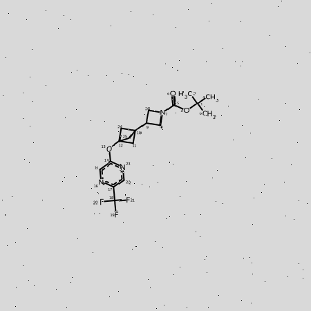 CC(C)(C)OC(=O)N1CC(C23CC(Oc4cnc(C(F)(F)F)cn4)(C2)C3)C1